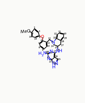 COc1ccc(Oc2ccccc2CN2CC(Nc3nc(N)nc4[nH]ncc34)Cc3ccccc32)cc1